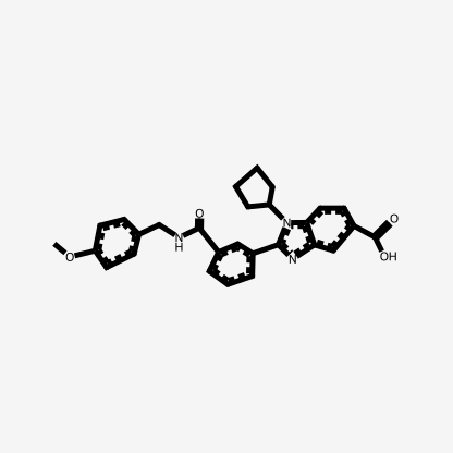 COc1ccc(CNC(=O)c2cccc(-c3nc4cc(C(=O)O)ccc4n3C3CCCC3)c2)cc1